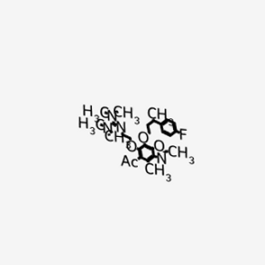 CC(=O)c1c(OCCN=C(N(C)C)N(C)C)c(OCCC(C)c2ccc(F)cc2)c2oc(C)nc2c1C